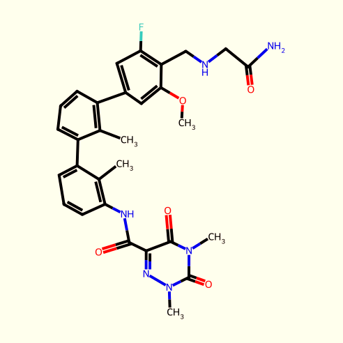 COc1cc(-c2cccc(-c3cccc(NC(=O)c4nn(C)c(=O)n(C)c4=O)c3C)c2C)cc(F)c1CNCC(N)=O